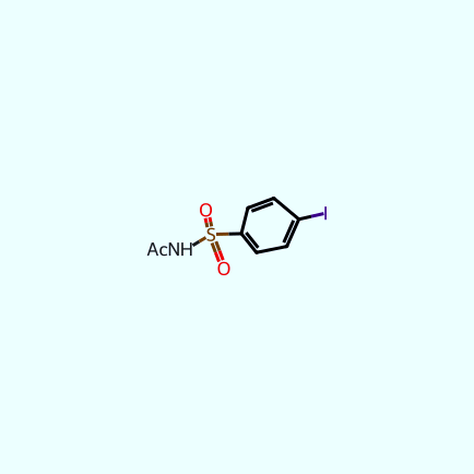 CC(=O)NS(=O)(=O)c1ccc(I)cc1